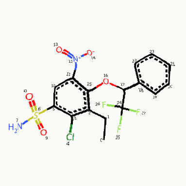 CCc1c(Cl)c(S(N)(=O)=O)cc([N+](=O)[O-])c1OC(c1ccccc1)C(F)(F)F